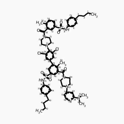 CCCCc1ccc(NS(=O)(=O)c2ccc(C)c(C(=O)N3CCN(c4c(Cl)cc(-c5cc(S(=O)(=O)Nc6ccc(CCCC)cc6)cc(C(=O)N6CCN(c7ccnc(N(C)C)c7)CC6)c5C)cc4Cl)CC3)c2)cc1